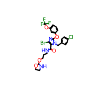 O=C(NCCCOC1NCCO1)c1c(Br)nc(Oc2cccc(OC(F)(F)F)c2)n1Cc1ccc(Cl)cc1